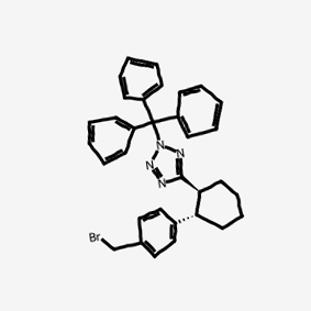 BrCc1ccc([C@H]2CCCC[C@@H]2c2nnn(C(c3ccccc3)(c3ccccc3)c3ccccc3)n2)cc1